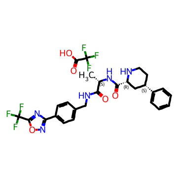 C[C@H](NC(=O)[C@H]1C[C@@H](c2ccccc2)CCN1)C(=O)NCc1ccc(-c2noc(C(F)(F)F)n2)cc1.O=C(O)C(F)(F)F